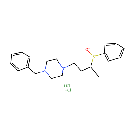 CC(CCN1CCN(Cc2ccccc2)CC1)[S+]([O-])c1ccccc1.Cl.Cl